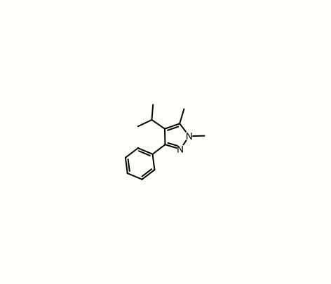 Cc1c(C(C)C)c(-c2ccccc2)nn1C